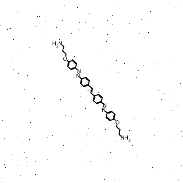 NCCCOc1ccc(/N=N/c2ccc(/C=C/c3ccc(/N=N/c4ccc(OCCCN)cc4)cc3)cc2)cc1